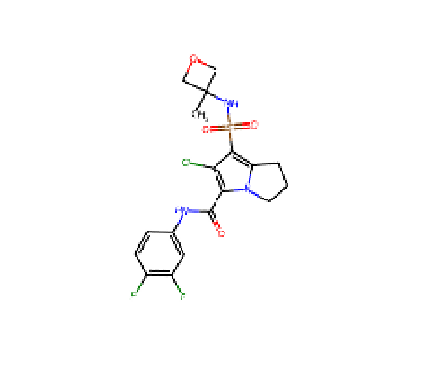 CC1(NS(=O)(=O)c2c(Cl)c(C(=O)Nc3ccc(F)c(F)c3)n3c2CCC3)COC1